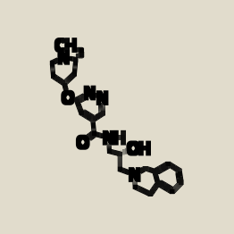 CN1CCC(Oc2cc(C(=O)NC[C@H](O)CN3CCc4ccccc4C3)cnn2)CC1